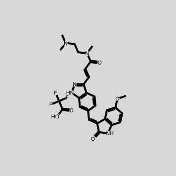 COc1ccc2c(c1)/C(=C\c1ccc3c(/C=C/C(=O)N(C)CCN(C)C)n[nH]c3c1)C(=O)N2.O=C(O)C(F)(F)F